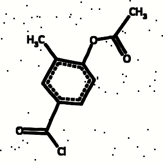 CC(=O)Oc1ccc(C(=O)Cl)cc1C